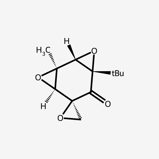 CC(C)(C)[C@]12O[C@H]1[C@]1(C)O[C@@H]1[C@@]1(CO1)C2=O